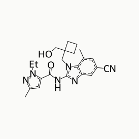 CCn1nc(C)cc1C(=O)Nc1nc2cc(C#N)cc(C)c2n1CC1(CO)CCC1